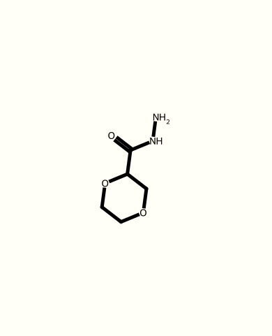 NNC(=O)C1COCCO1